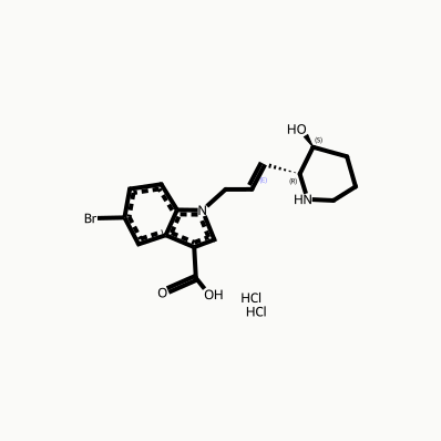 Cl.Cl.O=C(O)c1cn(C/C=C/[C@H]2NCCC[C@@H]2O)c2ccc(Br)cc12